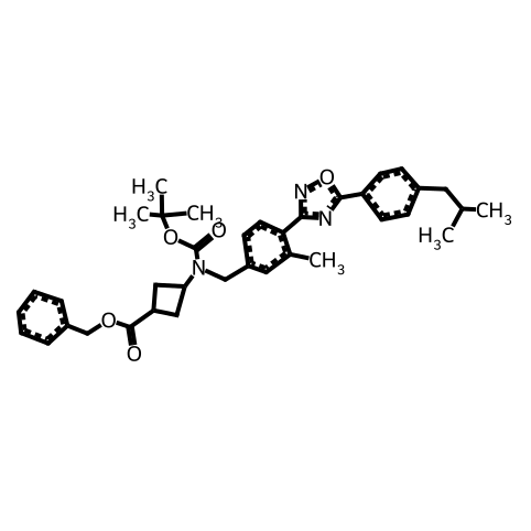 Cc1cc(CN(C(=O)OC(C)(C)C)C2CC(C(=O)OCc3ccccc3)C2)ccc1-c1noc(-c2ccc(CC(C)C)cc2)n1